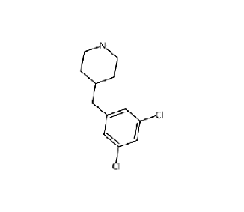 Clc1cc(Cl)cc(CC2CC[N]CC2)c1